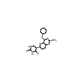 Nc1nc(Cc2ccccc2)c2nc(-c3c[nH]c(=O)[nH]c3=O)ccc2n1